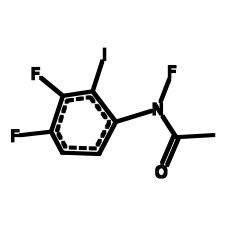 CC(=O)N(F)c1ccc(F)c(F)c1I